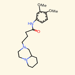 COc1ccc(NC(=O)CCCN2CCN3CCCCC3C2)cc1OC